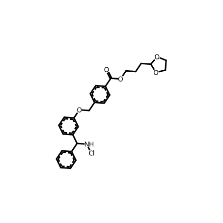 O=C(OCCCC1OCCO1)c1ccc(COc2cccc(C(NCl)c3ccccc3)c2)cc1